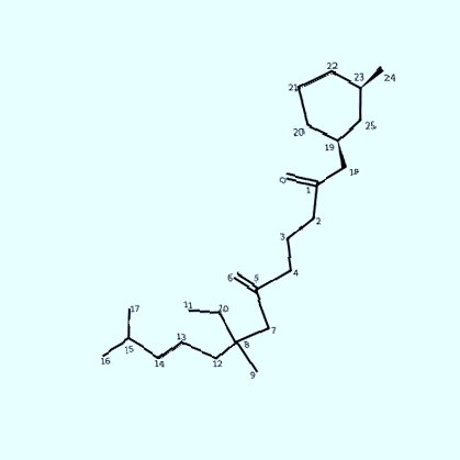 C=C(CCCC(=C)CC(C)(CC)CCCC(C)C)C[C@H]1CCC[C@@H](C)C1